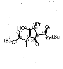 CC(C)[C@@H]1C(O)=C(NC(=O)OC(C)(C)C)C(=O)N1C(=O)OC(C)(C)C